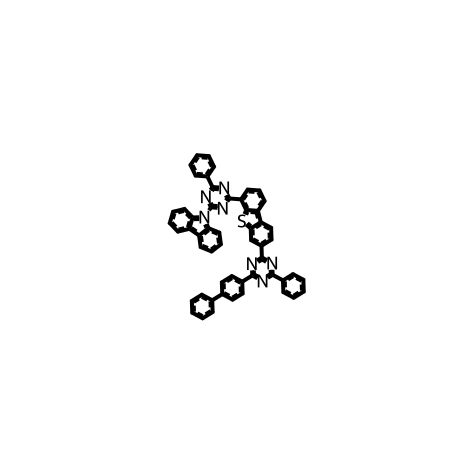 c1ccc(-c2ccc(-c3nc(-c4ccccc4)nc(-c4ccc5c(c4)sc4c(-c6nc(-c7ccccc7)nc(-n7c8ccccc8c8ccccc87)n6)cccc45)n3)cc2)cc1